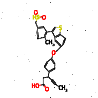 CC#CC(CC(=O)O)c1ccc(OCc2ccc3scc(-c4cc(C[SH](=O)=O)ccc4C)c3c2)cc1